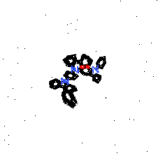 C1=CCC(c2ccccc2N(c2ccc(-n3c4ccccc4c4c5ccccc5ccc43)cc2)c2ccc3c(c2)c2ccccc2n3-c2ccccc2)C=C1